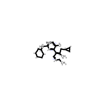 C=C(/N=C(C(/C=N\CC)=C(C)CC1CC1)\C(Cl)=C/C)NC1CCCCC1